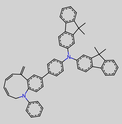 C=C1/C=C\C=C/CN(c2ccccc2)c2ccc(-c3ccc(N(c4ccc5c(c4)C(C)(C)c4ccccc4-5)c4ccc5c(c4)C(C)(C)c4ccccc4-5)cc3)cc21